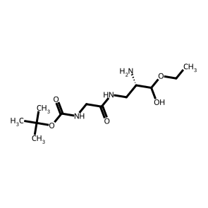 CCOC(O)[C@@H](N)CNC(=O)CNC(=O)OC(C)(C)C